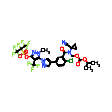 CC(C)OC(=O)OCN(C(=O)c1cc(-c2cnn(-c3c(C(F)(F)F)c(OS(=O)(=O)C(F)(C(F)(F)F)C(F)(F)F)nn3C)c2)ccc1Cl)C1(C#N)CC1